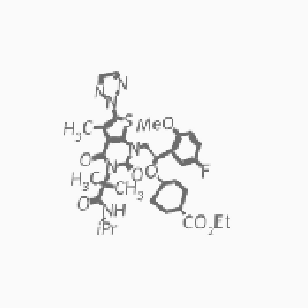 CCOC(=O)[C@H]1CC[C@@H](O[C@@H](Cn2c(=O)n(C(C)(C)C(=O)NC(C)C)c(=O)c3c(C)c(-n4nccn4)sc32)c2cc(F)ccc2OC)CC1